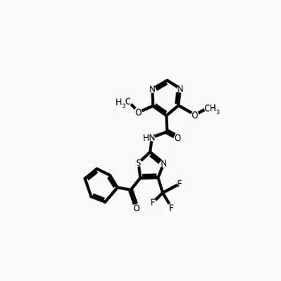 COc1ncnc(OC)c1C(=O)Nc1nc(C(F)(F)F)c(C(=O)c2ccccc2)s1